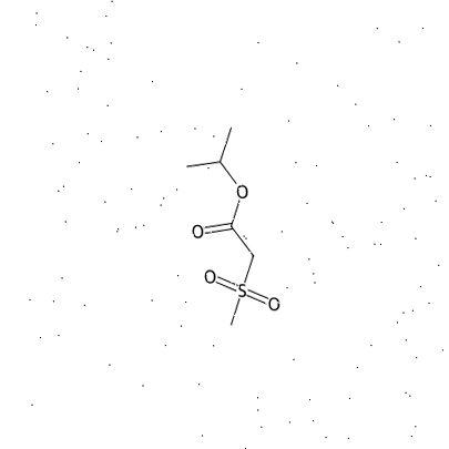 CC(C)OC(=O)CS(C)(=O)=O